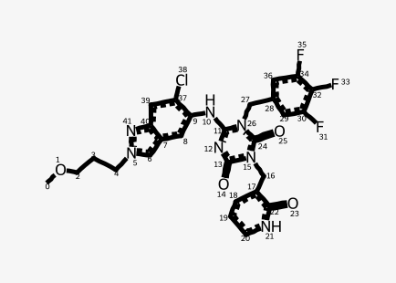 COCCCn1cc2cc(Nc3nc(=O)n(Cc4ccc[nH]c4=O)c(=O)n3Cc3cc(F)c(F)c(F)c3)c(Cl)cc2n1